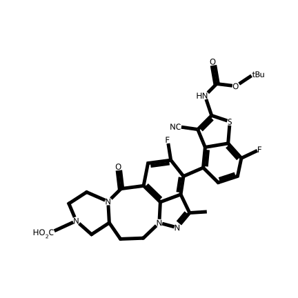 Cc1nn2c3c(cc(F)c(-c4ccc(F)c5sc(NC(=O)OC(C)(C)C)c(C#N)c45)c13)C(=O)N1CCN(C(=O)O)CC1CC2